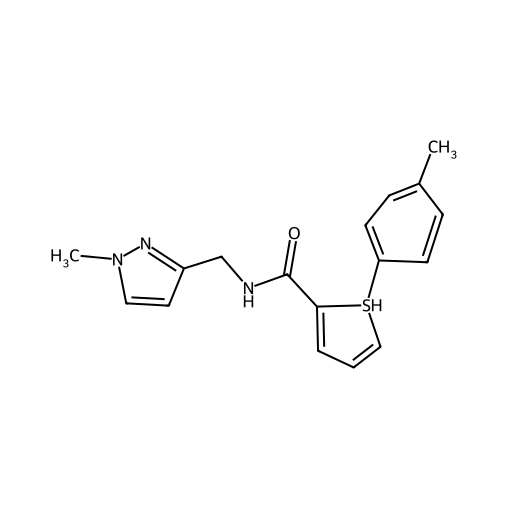 Cc1ccc([SH]2C=CC=C2C(=O)NCc2ccn(C)n2)cc1